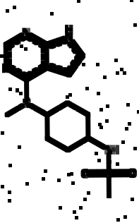 CN(c1ncnc2[nH]ccc12)C1CCC(NS(C)(=O)=O)CC1